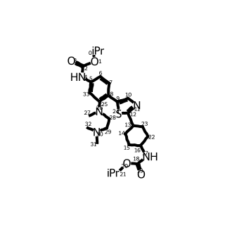 CC(C)OC(=O)Nc1ccc(-c2cnc(C3CCC(NC(=O)OC(C)C)CC3)s2)c(N(C)CCN(C)C)c1